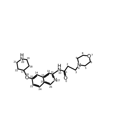 O=C(CCN1CCOCC1)Nc1cc2cc(OC3CCNCC3)ccc2cn1